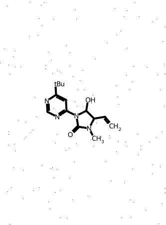 C=CC1C(O)N(c2cc(C(C)(C)C)ncn2)C(=O)N1C